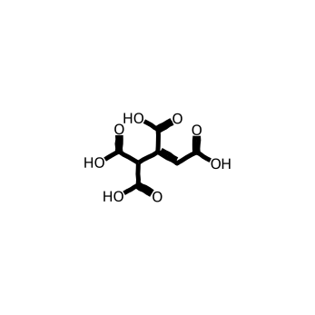 O=C(O)/C=C(\C(=O)O)C(C(=O)O)C(=O)O